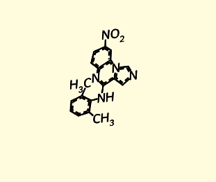 Cc1cccc(C)c1Nc1nc2ccc([N+](=O)[O-])cc2n2cncc12